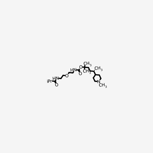 CC(C)C(=O)NCCOCCNC(=O)OC(C)(C)CC[C@H](C)C1CCN(C)CC1